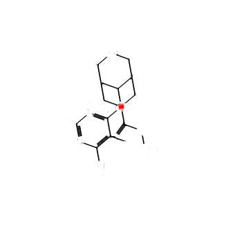 CC(C)(C)OC(=O)N1CC2COCC(C1)C2Oc1ncnc(Cl)c1F